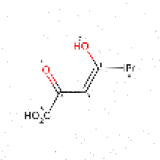 CC(C)/C(O)=C/C(=O)C(=O)O